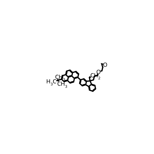 C=CC1(CCCOCC2CO2)c2ccccc2-c2ccc(-c3ccc4ccc5cc(C(C)(C)C)cc6ccc3c4c56)cc21